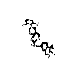 O=C1c2cnc(Nc3ccc4c(c3)CNC(=O)C43CC3)nc2SCN1c1c(Cl)cccc1Cl